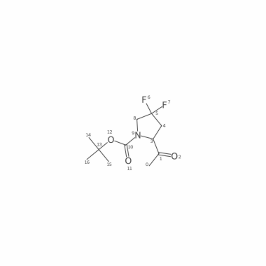 CC(=O)C1CC(F)(F)CN1C(=O)OC(C)(C)C